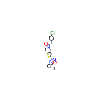 O=C(Cc1ccc(Cl)cc1)N1CCc2sc(-c3noc(C(F)(F)F)n3)cc2C1